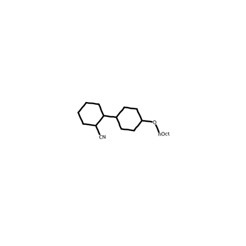 CCCCCCCCOC1CCC(C2CCCCC2C#N)CC1